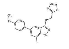 Cc1cc(-c2ccc(OC(F)(F)F)cc2)cc2c(OCc3ncco3)noc12